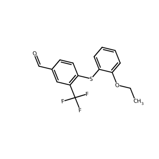 CCOc1ccccc1Sc1ccc(C=O)cc1C(F)(F)F